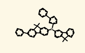 CC1(C)c2ccccc2-c2cc(N(c3cccc(-c4ccccc4)c3)c3ccc4c(c3)C(C)(C)c3cc(-c5ccccc5)ccc3-4)ccc21